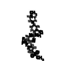 CN1CCN(c2ccc(Nc3ncc(C(F)(F)F)c(-c4cc(S(C)(=O)=O)cs4)n3)c(Cl)c2)CC1